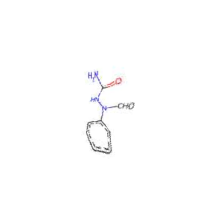 NC(=O)NN(C=O)c1ccccc1